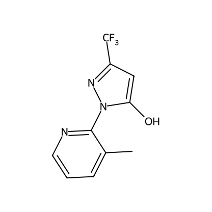 Cc1cccnc1-n1nc(C(F)(F)F)cc1O